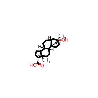 CC[C@]12CC[C@@](C)(O)C[C@H]1CC[C@H]1[C@@H]3CC[C@H](C(=O)O)[C@@]3(C)CC[C@@H]12